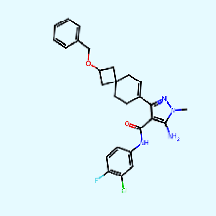 Cn1nc(C2=CCC3(CC2)CC(OCc2ccccc2)C3)c(C(=O)Nc2ccc(F)c(Cl)c2)c1N